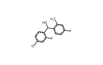 Cc1cc(F)ccc1C(O)c1ccc(Cl)cc1F